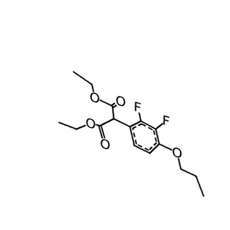 CCCOc1ccc(C(C(=O)OCC)C(=O)OCC)c(F)c1F